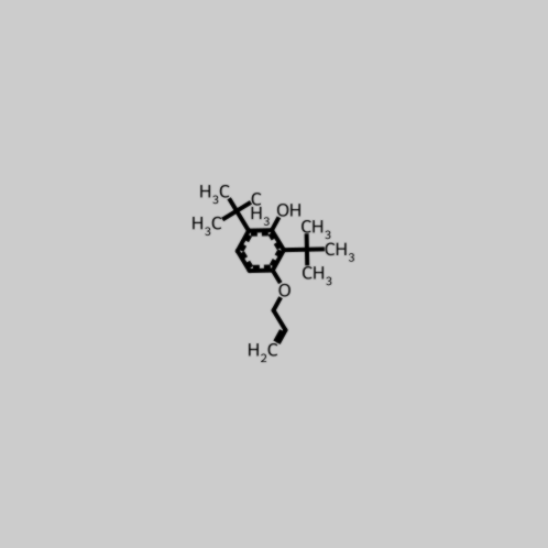 C=CCOc1ccc(C(C)(C)C)c(O)c1C(C)(C)C